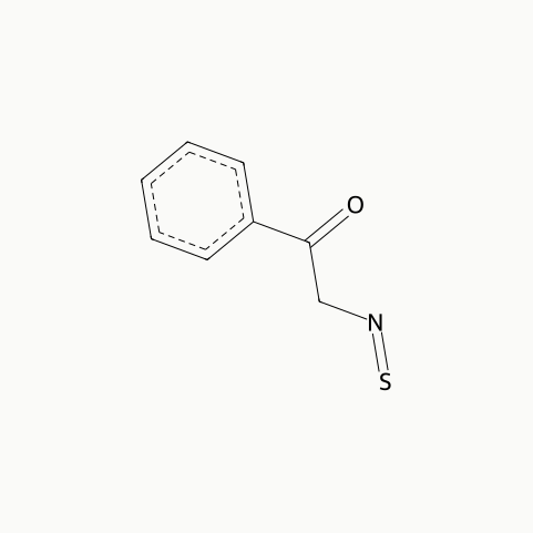 O=C(CN=S)c1ccccc1